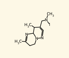 CC1=NC2C(C)C(CN(C)I)=C=NN2CC1